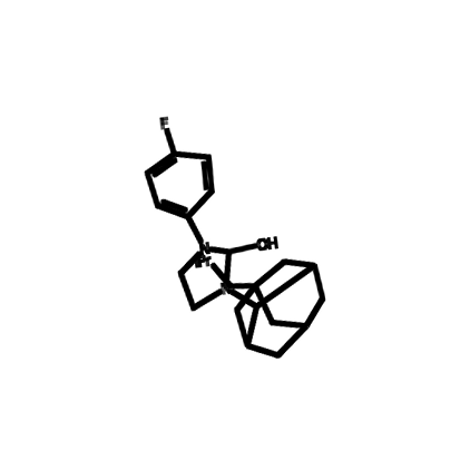 CC(C)CC12CC3CC(C1)C(N1CCN(c4ccc(F)cc4)C1O)C(C3)C2